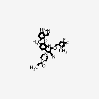 C=CC(=O)N1CCN(c2c(C#N)c(OCC3CC(F)(F)CN3C)nc3c(Oc4c(C)ccc5[nH]ncc45)cccc23)CC1